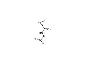 CC(=O)CNC(=O)C1CC1